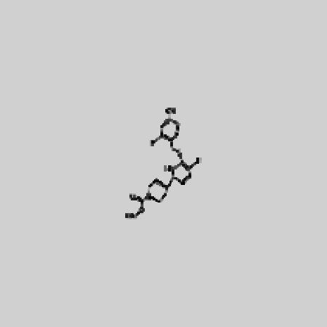 CC(C)(C)OC(=O)N1CC=C(C2C=CC(F)=C(SCc3ccc(C#N)cc3F)N2)CC1